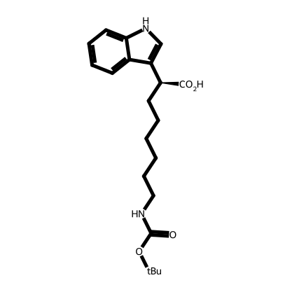 CC(C)(C)OC(=O)NCCCCCC[C@H](C(=O)O)c1c[nH]c2ccccc12